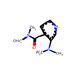 CN(C=O)C(=O)c1ccncc1N(C)C